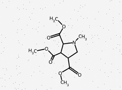 COC(=O)C1CN(C)C(C(=O)OC)C1C(=O)OC